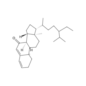 CCC(CCC(C)[C@H]1CC[C@H]2[C@@H]3C(=O)C=C4C=CCC[C@]4(C)[C@H]3CC[C@]12C)C(C)C